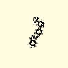 FC(F)(F)c1ccnc(N2CCN(Cn3ncc4ccccc43)CC2)c1